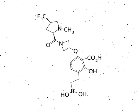 CN1C[C@H](C(F)(F)F)C[C@@H]1C(=O)N1CC(Oc2ccc(CCB(O)O)c(O)c2C(=O)O)C1